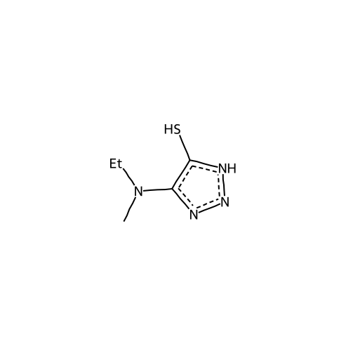 CCN(C)c1nn[nH]c1S